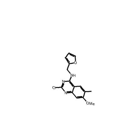 COc1cc2nc(Cl)nc(NCc3ccco3)c2cc1C